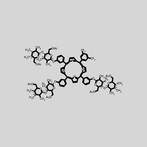 CC(=O)OCC1O[C@@H](Oc2cccc(-c3c4nc(c(-c5cccc(O[C@@H]6OC(COC(C)=O)[C@@H](O[C@@H]7OC(COC(C)=O)[C@H](C)[C@H](C)C7C)[C@H](C)C6C)c5)c5ccc([nH]5)c(-c5cc(C(F)(F)F)cc(C(F)(F)F)c5)c5nc(c(-c6cccc(O[C@@H]7OC(COC(C)=O)[C@@H](O[C@@H]8OC(COC(C)=O)[C@H](C)[C@H](C)C8C)[C@H](C)C7C)c6)c6ccc3[nH]6)C=C5)C=C4)c2)C(C)[C@@H](C)[C@@H]1O[C@@H]1OC(COC(C)=O)[C@H](C)[C@H](C)C1C